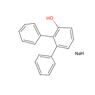 Oc1cccc(-c2ccccc2)c1-c1ccccc1.[NaH]